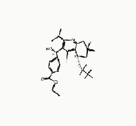 CCOC(=O)c1ccc([C@@H](O)c2c(C(C)C)nc3c(c2I)[C@@H](O[Si](C)(C)C(C)(C)C)CC(C)(C)C3)cc1